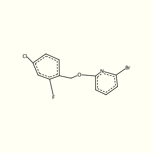 Fc1cc(Cl)ccc1COc1cccc(Br)n1